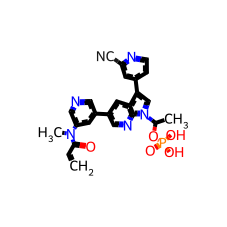 C=CC(=O)N(C)c1cncc(-c2cnc3c(c2)c(-c2ccnc(C#N)c2)cn3C(C)OP(=O)(O)O)c1